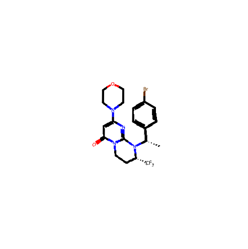 C[C@@H](c1ccc(Br)cc1)N1c2nc(N3CCOCC3)cc(=O)n2CC[C@H]1C(F)(F)F